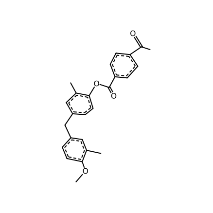 COc1ccc(Cc2ccc(OC(=O)c3ccc(C(C)=O)cc3)c(C)c2)cc1C